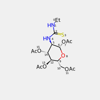 CCNC(=S)N[C@H]1[C@H](OC(C)=O)O[C@H](COC(C)=O)[C@@H](OC(C)=O)[C@@H]1OC(C)=O